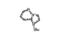 CC(C)(C)n1cc[n+]2ncccc12